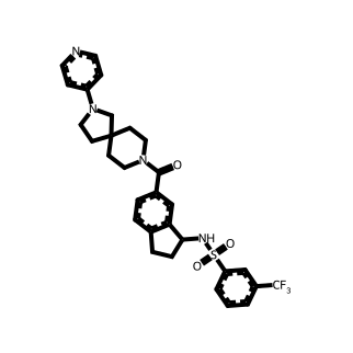 O=C(c1ccc2c(c1)C(NS(=O)(=O)c1cccc(C(F)(F)F)c1)CC2)N1CCC2(CC1)CCN(c1ccncc1)C2